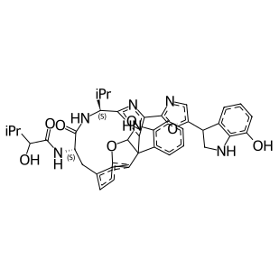 CC(C)C(O)C(=O)N[C@H]1Cc2ccc3c(c2)C2(c4ccccc4NC2O3)c2oc(nc2-c2ncc(C3CNc4c(O)cccc43)o2)[C@H](C(C)C)NC1=O